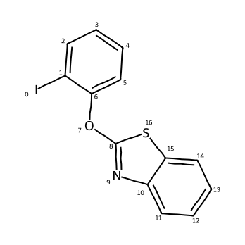 Ic1ccccc1Oc1nc2ccccc2s1